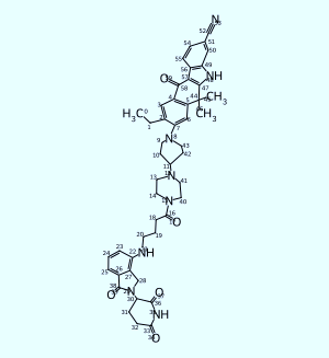 CCc1cc2c(cc1N1CCC(N3CCN(C(=O)CCCNc4cccc5c4CN(C4CCC(=O)NC4=O)C5=O)CC3)CC1)C(C)(C)c1[nH]c3cc(C#N)ccc3c1C2=O